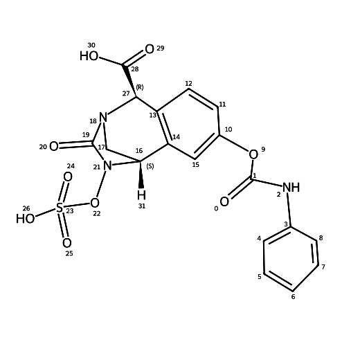 O=C(Nc1ccccc1)Oc1ccc2c(c1)[C@H]1CN(C(=O)N1OS(=O)(=O)O)[C@H]2C(=O)O